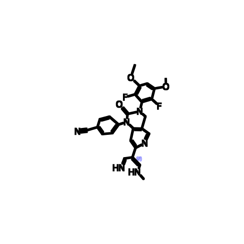 CN/C=C(\C=N)c1cc2c(cn1)CN(c1c(F)c(OC)cc(OC)c1F)C(=O)N2c1ccc(C#N)cc1